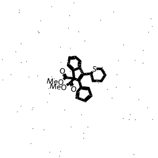 COC(=O)C1(C(=O)OC)C(c2ccccc2)=C(C2CCCCS2)c2ccccc21